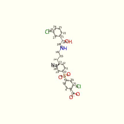 O=C([O-])c1ccc(S(=O)(=O)c2ccc(CCCNC[C@H](O)c3cccc(Cl)c3)cc2)cc1Cl.[Na+]